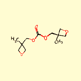 CC1(COC(=O)OCC2(C)COC2)COC1